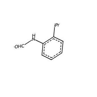 CC(C)c1ccccc1N[C]=O